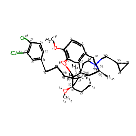 COc1ccc2c3c1O[C@H]1[C@@]4(OC)CC[C@@]5(C[C@@H]4CCCc4ccc(Cl)c(Cl)c4)[C@@H](C2)N(CC2CC2)CC[C@]315